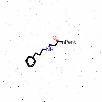 CCCCCC(=O)CCNCCCc1ccccc1